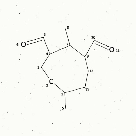 CC1CCC(C=O)C(C)C(C=O)CC1